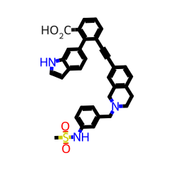 CS(=O)(=O)Nc1cccc(CN2CCc3ccc(C#Cc4cccc(C(=O)O)c4-c4ccc5cc[nH]c5c4)cc3C2)c1